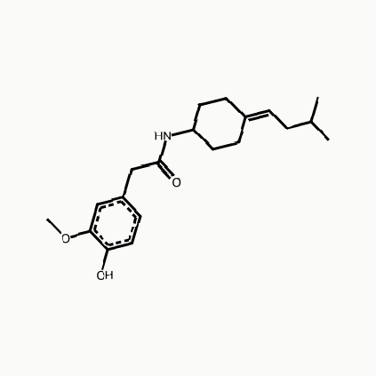 COc1cc(CC(=O)NC2CCC(=CCC(C)C)CC2)ccc1O